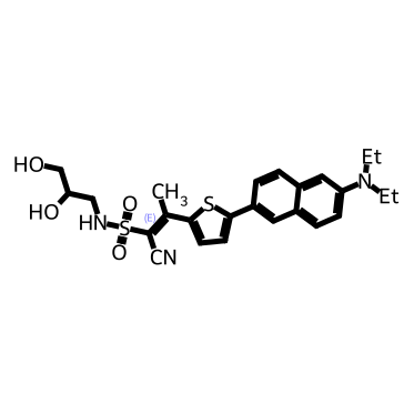 CCN(CC)c1ccc2cc(-c3ccc(/C(C)=C(\C#N)S(=O)(=O)NCC(O)CO)s3)ccc2c1